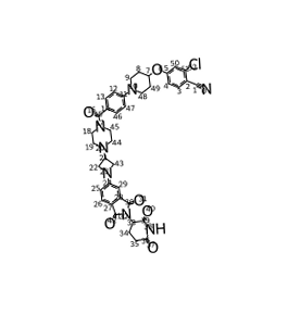 N#Cc1ccc(OC2CCN(c3ccc(C(=O)N4CCN(C5CN(c6ccc7c(c6)C(=O)N(C6CCC(=O)NC6=O)C7=O)C5)CC4)cc3)CC2)cc1Cl